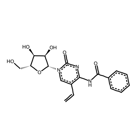 C=Cc1cn([C@@H]2O[C@H](CO)[C@@H](O)[C@H]2O)c(=O)nc1NC(=O)c1ccccc1